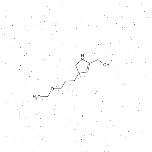 CCOCCCN1C=C(CO)NC1